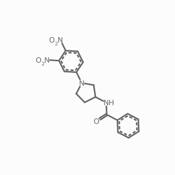 O=C(NC1CCN(c2ccc([N+](=O)[O-])c([N+](=O)[O-])c2)C1)c1ccccc1